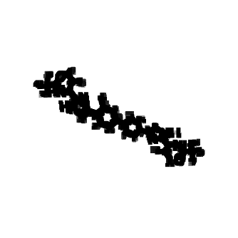 Cc1cc(-c2ccc(-c3c[nH]c([C@@H](NC(=O)C(C)(C)C)C(C)C)n3)cc2)ccc1-c1c[nH]c([C@@H](NC(=O)C(C)(C)C)C(C)C)n1